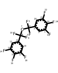 Fc1cc(C(F)(F)OC(F)(F)c2cc(F)c(F)c(F)c2)cc(F)c1F